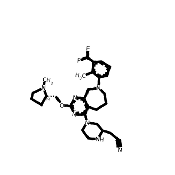 Cc1c(C(F)F)cccc1N1CCCc2c(nc(OC[C@@H]3CCCN3C)nc2N2CCNC(CC#N)C2)C1